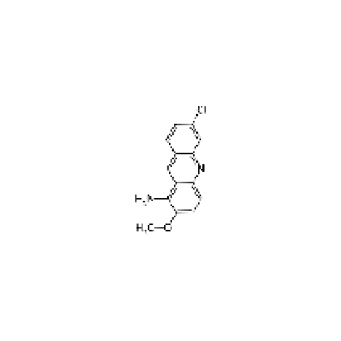 COc1ccc2nc3cc(Cl)ccc3cc2c1N